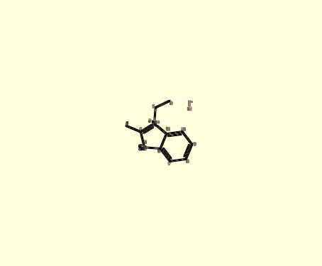 CC[n+]1c(C)[se]c2ccccc21.[I-]